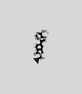 C[C@@H](C1CC1)N1Cc2cc(-c3cnc4c(N)ncnn34)ccc2C1=O